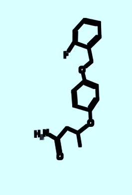 CC(CC(N)=O)Oc1ccc(OCc2ccccc2F)cc1